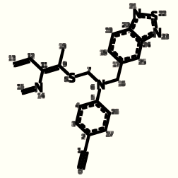 C#Cc1ccc(N(CS/C(C)=C(/C=C)N=C)Cc2ccc3nsnc3c2)cc1